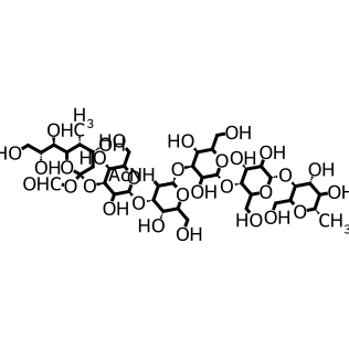 CC(=O)NC1[C@H](O[C@@H]2C(O)[C@@H](O[C@H]3C(CO)O[C@@H](O[C@@H]4C(CO)O[C@@H](C)C(O)[C@H]4O)C(O)[C@H]3O)OC(CO)[C@@H]2O)OC(CO)[C@H](O)[C@@H]1O[C@@H]1OC(CO)[C@H](O)[C@H](O[C@]2(OC=O)C[C@@H](O)[C@@H](C)C([C@H](O)[C@H](O)CO)O2)C1O